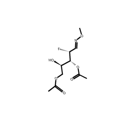 CON=C[C@@H](F)[C@H](OC(C)=O)[C@H](O)COC(C)=O